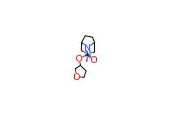 CN1CC2CCC(C1)N2C(=O)OC1CCOC1